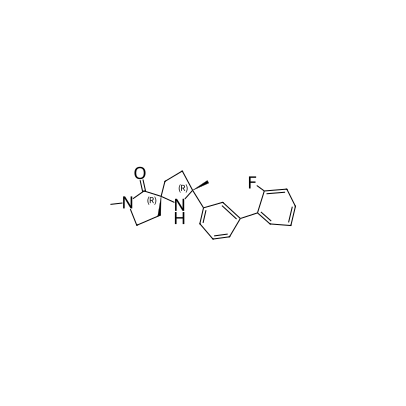 CN1CC[C@]2(CC[C@](C)(c3cccc(-c4ccccc4F)c3)N2)C1=O